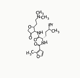 Cc1occc1C(=O)N[C@@H](CCC(C)C(C)C)C(=O)NC1C(=O)COC1CCN(C)C